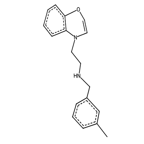 Cc1cccc(CNCCN2C=COc3ccccc32)c1